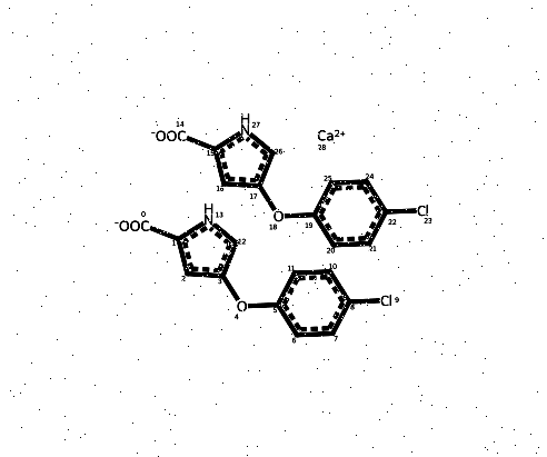 O=C([O-])c1cc(Oc2ccc(Cl)cc2)c[nH]1.O=C([O-])c1cc(Oc2ccc(Cl)cc2)c[nH]1.[Ca+2]